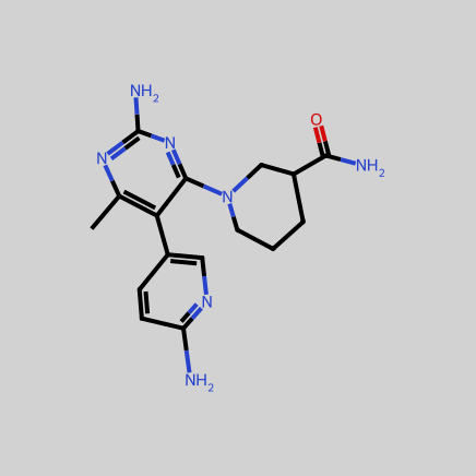 Cc1nc(N)nc(N2CCCC(C(N)=O)C2)c1-c1ccc(N)nc1